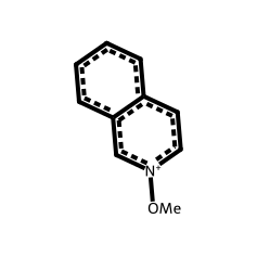 CO[n+]1ccc2ccccc2c1